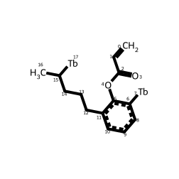 C=CC(=O)Oc1[c]([Tb])cccc1CCC[CH](C)[Tb]